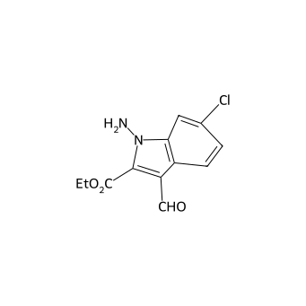 CCOC(=O)c1c(C=O)c2ccc(Cl)cc2n1N